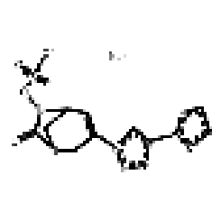 O=C1N2CC(n3cc(-c4nccs4)nn3)=CC(C2)N1OS(=O)(=O)[O-].[Na+]